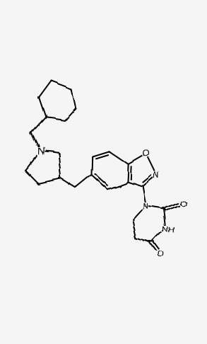 O=C1CCN(c2noc3ccc(CC4CCN(CC5CCCCC5)C4)cc23)C(=O)N1